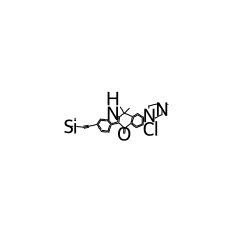 CN1CCN(c2cc3c(cc2Cl)C(=O)c2c([nH]c4cc(C#C[Si](C)(C)C)ccc24)C3(C)C)CC1